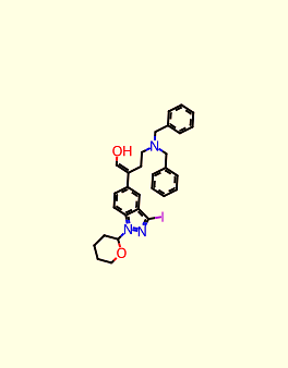 OC=C(CCN(Cc1ccccc1)Cc1ccccc1)c1ccc2c(c1)c(I)nn2C1CCCCO1